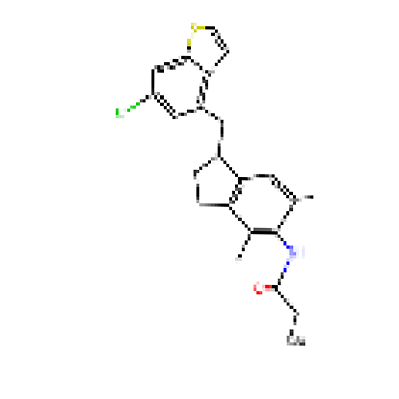 Cc1cc2c(c(C)c1NC(=O)CC(C)(C)C)CCC2Cc1cc(Cl)cc2sccc12